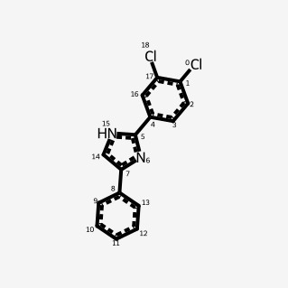 Clc1ccc(-c2nc(-c3ccccc3)c[nH]2)cc1Cl